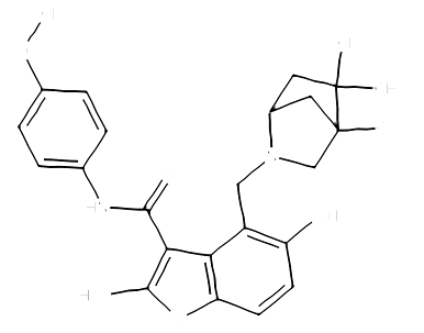 COc1ccc(NC(=O)c2c(C)oc3ccc(O)c(CN4CC5(C)CC4CC5(C)C)c23)cc1